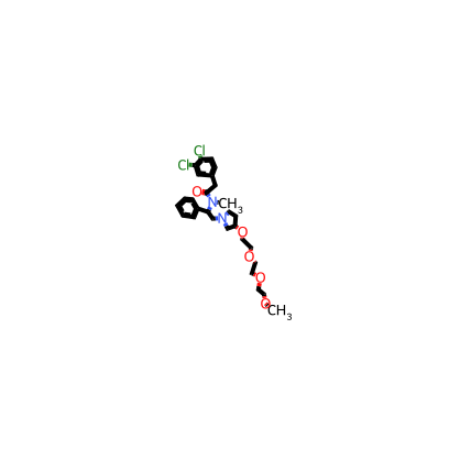 COCCOCCOCCOC1CCN(CC(c2ccccc2)N(C)C(=O)Cc2ccc(Cl)c(Cl)c2)C1